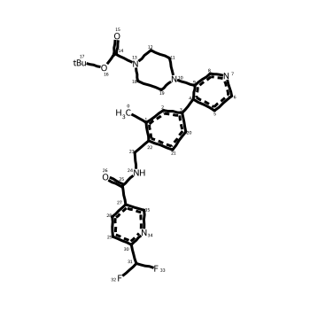 Cc1cc(-c2ccncc2N2CCN(C(=O)OC(C)(C)C)CC2)ccc1CNC(=O)c1ccc(C(F)F)nc1